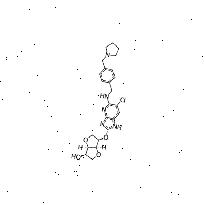 O[C@@H]1CO[C@H]2[C@@H]1OC[C@H]2Oc1nc2nc(NCc3ccc(CN4CCCC4)cc3)c(Cl)cc2[nH]1